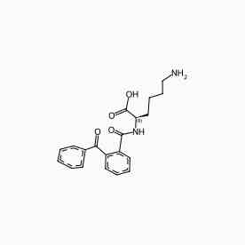 NCCCC[C@@H](NC(=O)c1ccccc1C(=O)c1ccccc1)C(=O)O